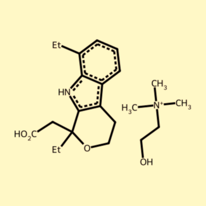 CCc1cccc2c3c([nH]c12)C(CC)(CC(=O)O)OCC3.C[N+](C)(C)CCO